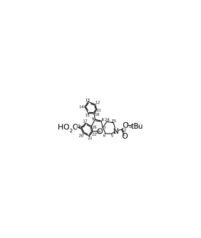 CC(C)(C)OC(=O)N1CCC2(C=C(c3ccccc3)c3cc(C(=O)O)ccc3O2)CC1